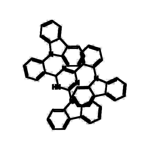 c1ccc(-n2c3ccccc3c3ccccc32)c(C2=NC(c3ccccc3-n3c4ccccc4c4ccccc43)NC(n3c4ccccc4c4ccccc43)=N2)c1